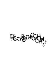 CC(C)(C)OC(=O)N1CCN(S(=O)(=O)c2ccc(OC(F)(F)F)cc2)CC1